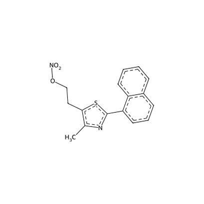 Cc1nc(-c2cccc3ccccc23)sc1CCO[N+](=O)[O-]